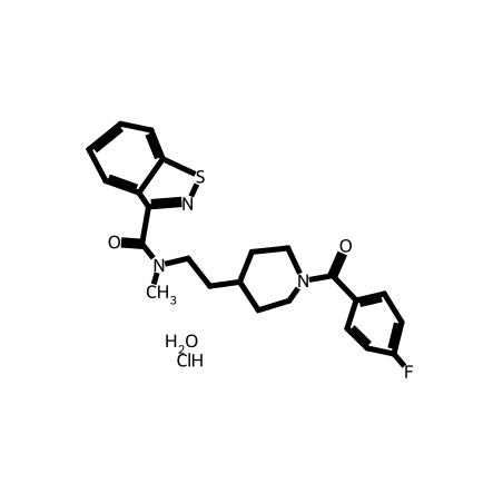 CN(CCC1CCN(C(=O)c2ccc(F)cc2)CC1)C(=O)c1nsc2ccccc12.Cl.O